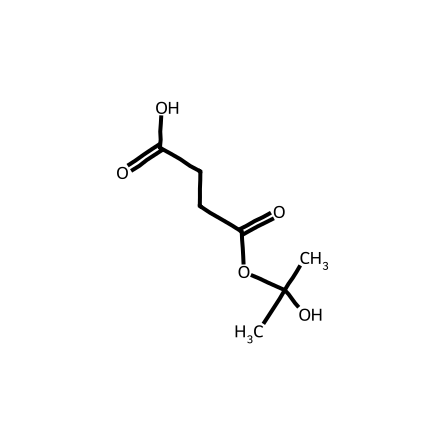 CC(C)(O)OC(=O)CCC(=O)O